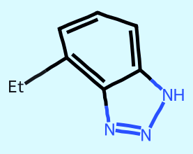 [CH2]Cc1cccc2[nH]nnc12